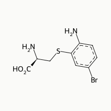 Nc1ccc(Br)cc1SC[C@H](N)C(=O)O